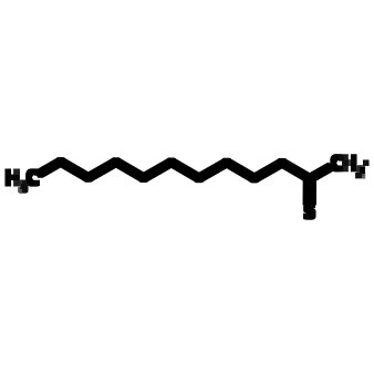 [CH2]C(=S)CCCCCCCCCC